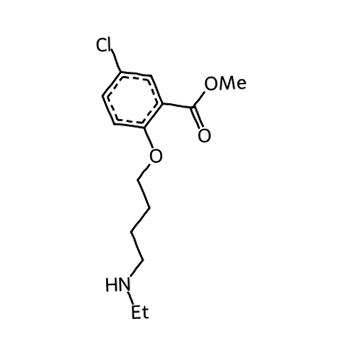 CCNCCCCOc1ccc(Cl)cc1C(=O)OC